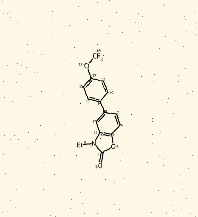 CCn1c(=O)oc2ccc(-c3ccc(OC(F)(F)F)cc3)cc21